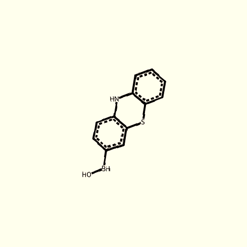 OBc1ccc2c(c1)Sc1ccccc1N2